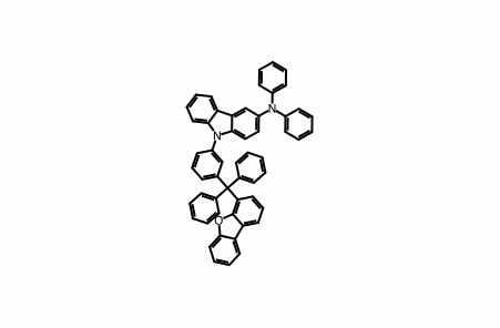 c1ccc(N(c2ccccc2)c2ccc3c(c2)c2ccccc2n3-c2cccc(C(c3ccccc3)(c3ccccc3)c3cccc4c3oc3ccccc34)c2)cc1